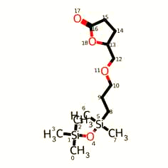 C[Si](C)(C)O[Si](C)(C)CCCOCC1CCC(=O)O1